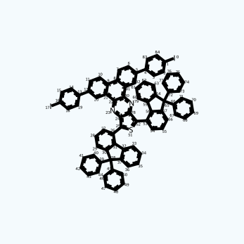 Ic1ccc(-c2ccc3c4ccc(-c5ccc(I)cc5)cc4c4nc5c(-c6cccc7c6-c6ccccc6C7(c6ccccc6)c6ccccc6)sc(-c6cccc7c6-c6ccccc6C7(c6ccccc6)c6ccccc6)c5nc4c3c2)cc1